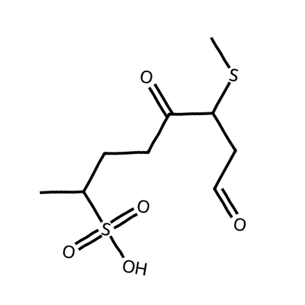 CSC(CC=O)C(=O)CCC(C)S(=O)(=O)O